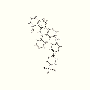 CS(=O)(=O)N1CCN(c2ccc(Nc3ncc4c(=O)n(-c5c(Cl)cccc5Cl)nc(-c5ccccn5)c4n3)cc2)CC1